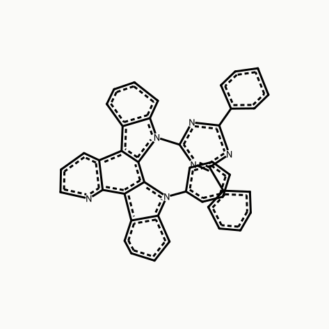 c1ccc(-c2nc(-c3ccccc3)nc(-n3c4ccccc4c4c5cccnc5c5c6ccccc6n(-c6ccccc6)c5c43)n2)cc1